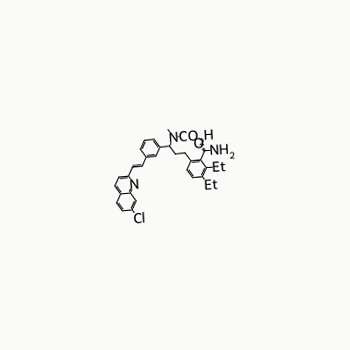 CCc1ccc(CCC(c2cccc(C=Cc3ccc4ccc(Cl)cc4n3)c2)N(C)C(=O)O)c(C(N)=O)c1CC